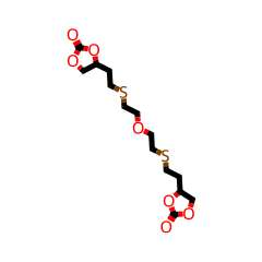 O=C1OCC(CCSCCOCCSCCC2COC(=O)O2)O1